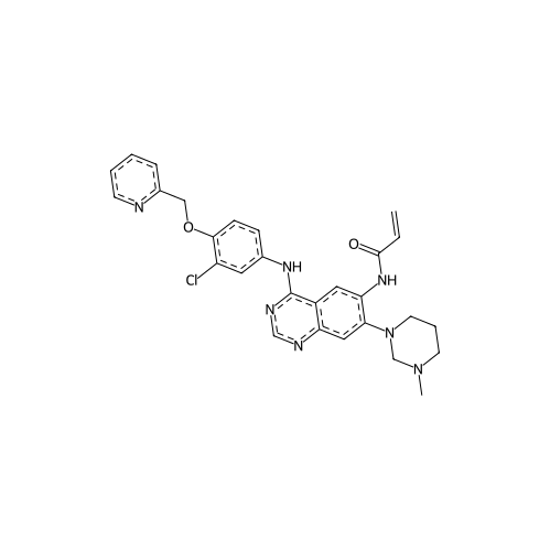 C=CC(=O)Nc1cc2c(Nc3ccc(OCc4ccccn4)c(Cl)c3)ncnc2cc1N1CCCN(C)C1